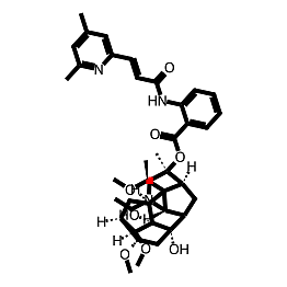 CCN1C[C@@](C)(OC(=O)c2ccccc2NC(=O)/C=C/c2cc(C)cc(C)n2)[C@H]2CC3[C@H]1C2([C@H](C)OC)[C@@H]1C[C@@H]2[C@@H](OC)C[C@@]3(O)[C@@]1(O)[C@H]2OC